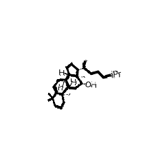 CC(C)CCCC(C)[C@H]1CC[C@H]2[C@@H]3CC=C4C(C)(C)CCC[C@]4(C)[C@H]3C[C@H](O)[C@]12C